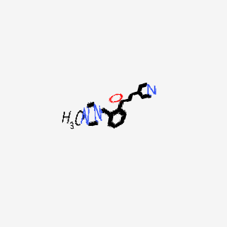 CN1CCN(Cc2ccccc2C(=O)C=Cc2ccncc2)CC1